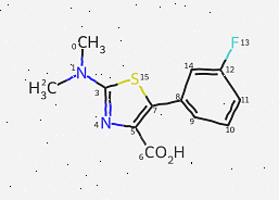 CN(C)c1nc(C(=O)O)c(-c2cccc(F)c2)s1